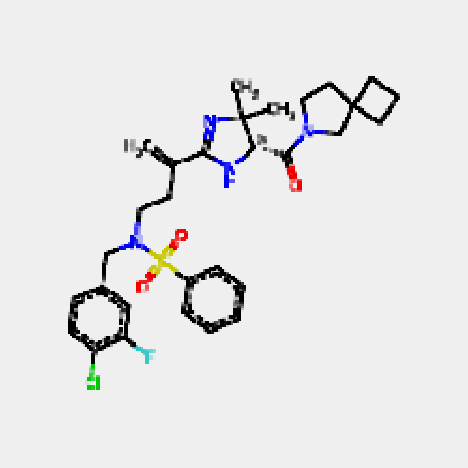 C=C(CCN(Cc1ccc(Cl)c(F)c1)S(=O)(=O)c1ccccc1)C1=NC(C)(C)[C@H](C(=O)N2CCC3(CCC3)C2)N1